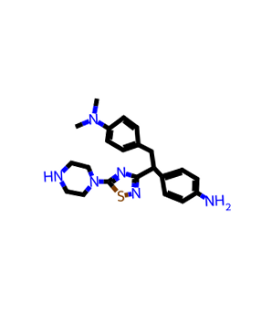 CN(C)c1ccc(CC(c2ccc(N)cc2)c2nsc(N3CCNCC3)n2)cc1